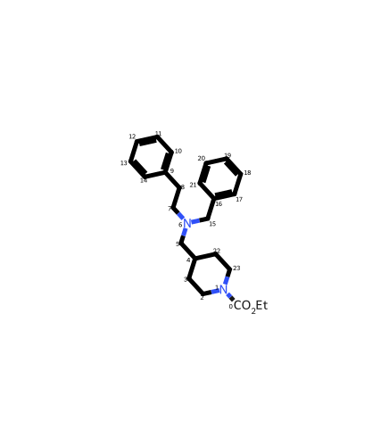 CCOC(=O)N1CCC(CN(CCc2ccccc2)Cc2ccccc2)CC1